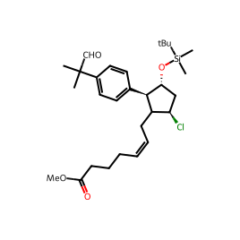 COC(=O)CCC/C=C\CC1[C@H](Cl)C[C@@H](O[Si](C)(C)C(C)(C)C)[C@@H]1c1ccc(C(C)(C)C=O)cc1